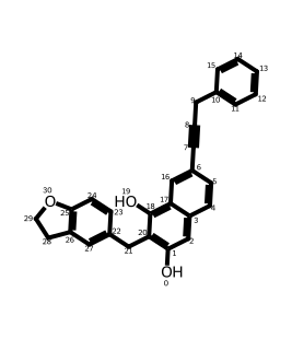 Oc1cc2ccc(C#CCc3ccccc3)cc2c(O)c1Cc1ccc2c(c1)CCO2